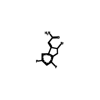 NC(=O)/C=C1/c2cc(F)cc(F)c2CC1Br